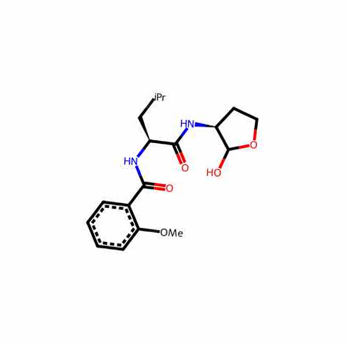 COc1ccccc1C(=O)N[C@@H](CC(C)C)C(=O)N[C@H]1CCOC1O